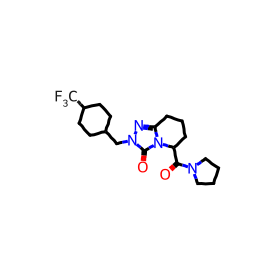 O=C(C1CCCc2nn(CC3CCC(C(F)(F)F)CC3)c(=O)n21)N1CCCC1